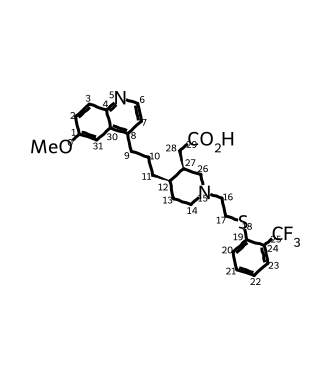 COc1ccc2nccc(CCC[C@@H]3CCN(CCSc4ccccc4C(F)(F)F)C[C@@H]3CC(=O)O)c2c1